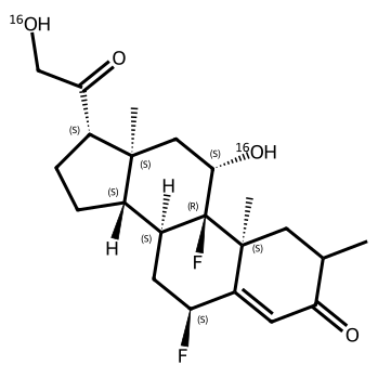 CC1C[C@@]2(C)C(=CC1=O)[C@@H](F)C[C@H]1[C@@H]3CC[C@H](C(=O)C[16OH])[C@@]3(C)C[C@H]([16OH])[C@@]12F